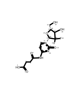 O=C(O)CCC(=O)Nc1ccn([C@@H]2O[C@H](CO)C(O)C2(F)F)c(=O)n1